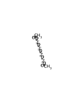 CC(=O)OCCCOCCCOCCCOCCCOC(C)=O